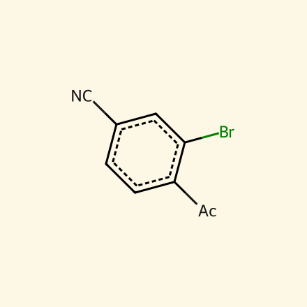 CC(=O)c1ccc(C#N)cc1Br